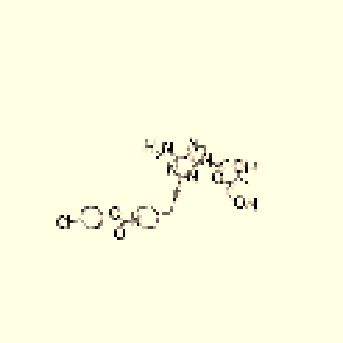 CC(O)[C@@H](CO)O[C@H](C)n1cnc2c(N)nc(C#CCC3CCN(C(=O)Oc4ccc(Cl)cc4)CC3)nc21